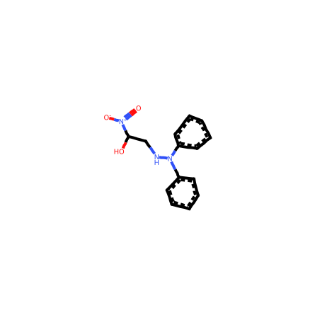 O=[N+]([O-])C(O)CNN(c1ccccc1)c1ccccc1